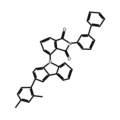 Cc1ccc(-c2ccc3c(c2)c2ccccc2n3-c2cccc3c2C(=O)N(c2cccc(-c4ccccc4)c2)C3=O)c(C)c1